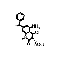 CCCCCCCCOc1c(O)c2c(N)cc(C(=O)c3ccccc3)cc2n(C)c1=O